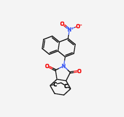 O=C1C2C3CCCC(CC3)C2C(=O)N1c1ccc([N+](=O)[O-])c2ccccc12